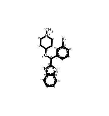 CN1CCC(OC(c2cccc(Br)c2)c2nc3ccccc3[nH]2)CC1